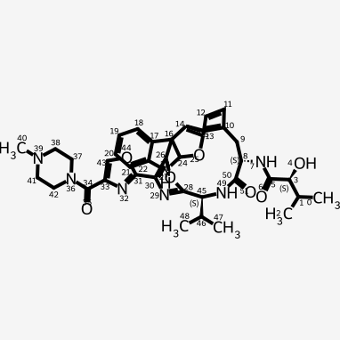 CC(C)[C@H](O)C(=O)N[C@H]1Cc2ccc3c(c2)C2(c4ccccc4NC2O3)c2oc(nc2-c2nc(C(=O)N3CCN(C)CC3)co2)[C@H](C(C)C)NC1=O